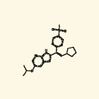 CC(C)Oc1cnc2[nH]c(C(=CC3CCCC3)c3ccc(S(C)(=O)=O)cc3)cc2c1